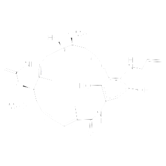 C=CCNc1c(O)cc2c(O)c1C[C@@H](C)C[C@H](OC)[C@H](O)[C@@H](C)/C=C(\C)[C@H](OC(=C)N)[C@@H](OC)/C=C\C=C(/C)C(=O)N2